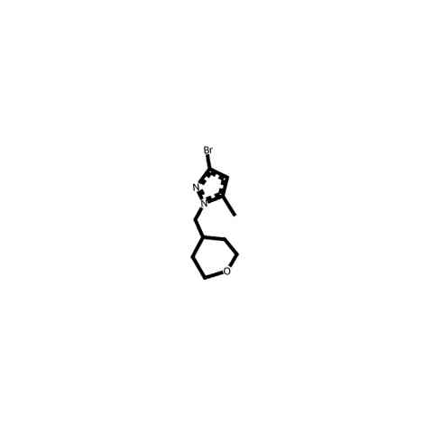 Cc1cc(Br)nn1CC1CCOCC1